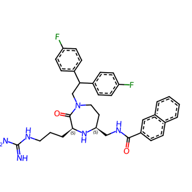 N=C(N)NCCC[C@@H]1N[C@H](CNC(=O)c2ccc3ccccc3c2)CCN(CC(c2ccc(F)cc2)c2ccc(F)cc2)C1=O